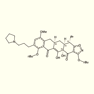 CCCCOc1noc2c1C(=O)[C@@]1(O)C(O)=C3C(=O)c4c(c(OC)cc(CCCN5CCCC5)c4OCCCC)C[C@H]3C[C@H]1[C@@H]2C(C)C